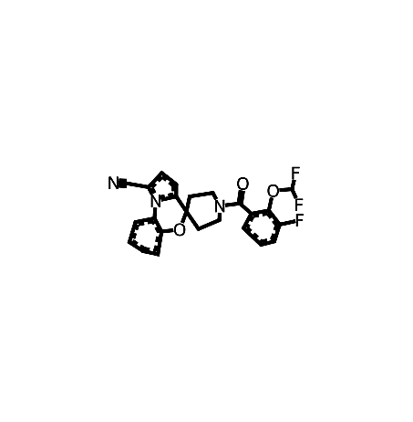 N#Cc1ccc2n1-c1ccccc1OC21CCN(C(=O)c2cccc(F)c2OC(F)F)CC1